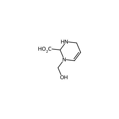 O=C(O)C1NCC=CN1CO